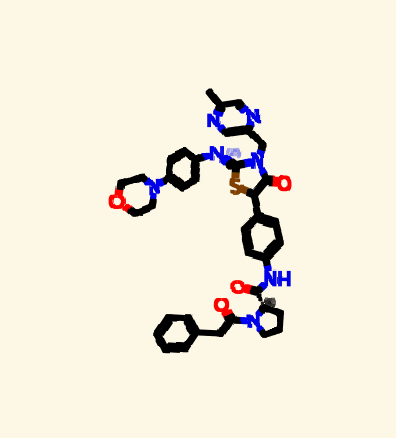 Cc1cnc(CN2C(=O)C(c3ccc(NC(=O)[C@@H]4CCCN4C(=O)Cc4ccccc4)cc3)S/C2=N\c2ccc(N3CCOCC3)cc2)cn1